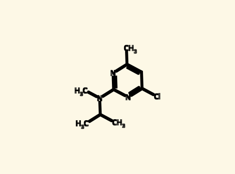 Cc1cc(Cl)nc(N(C)C(C)C)n1